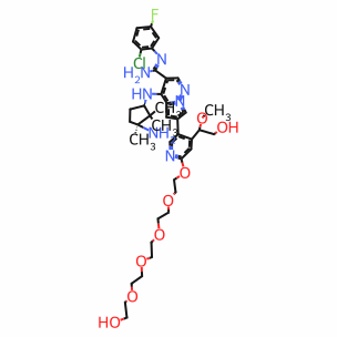 COC(CO)c1cc(OCCOCCOCCOCCOCCO)ncc1-c1cc2c(N[C@@H]3CC[C@](C)(N)C3(C)C)c(/C(N)=N/c3cc(F)ccc3Cl)cnn2c1